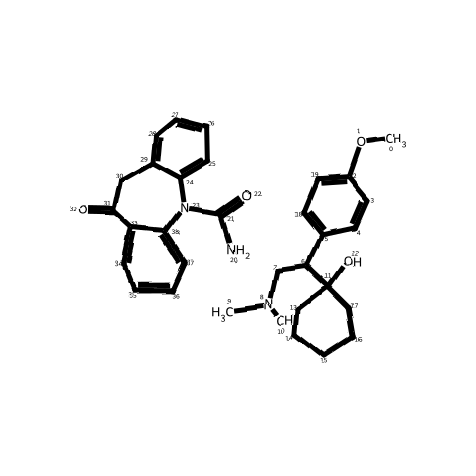 COc1ccc(C(CN(C)C)C2(O)CCCCC2)cc1.NC(=O)N1c2ccccc2CC(=O)c2ccccc21